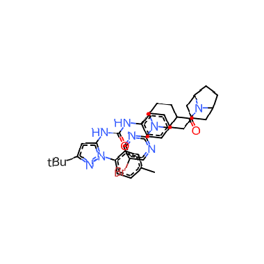 Cc1ccc(-n2nc(C(C)(C)C)cc2NC(=O)Nc2ccc(CC3CC4CCC(C3)N4C(=O)C3CCCN(c4ncc(Br)cn4)C3)cc2)cc1